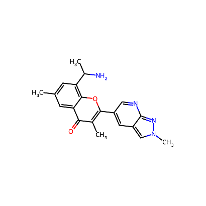 Cc1cc(C(C)N)c2oc(-c3cnc4nn(C)cc4c3)c(C)c(=O)c2c1